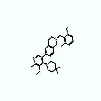 CCc1c(C)ncc(-c2ccc3c(c2)CCN(Cc2c(C)cccc2Cl)C3)c1N1CCC(C)(C)CC1